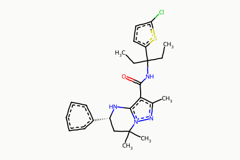 CCC(CC)(NC(=O)c1c(C)nn2c1N[C@@H](c1ccccc1)CC2(C)C)c1ccc(Cl)s1